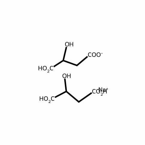 O=C(O)CC(O)C(=O)O.O=C([O-])CC(O)C(=O)O.[Na+]